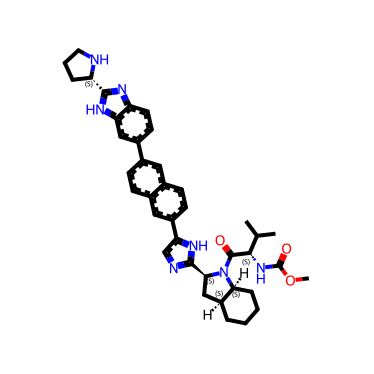 COC(=O)N[C@H](C(=O)N1[C@H](c2ncc(-c3ccc4cc(-c5ccc6nc([C@@H]7CCCN7)[nH]c6c5)ccc4c3)[nH]2)C[C@@H]2CCCC[C@@H]21)C(C)C